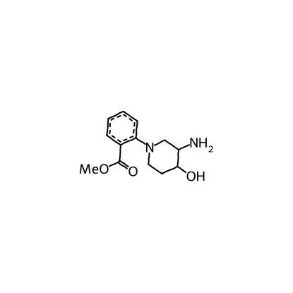 COC(=O)c1ccccc1N1CCC(O)C(N)C1